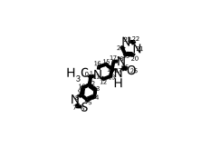 CC(c1ccc2scnc2c1)N1CCC2(CC1)CN(c1cncnc1)C(=O)N2